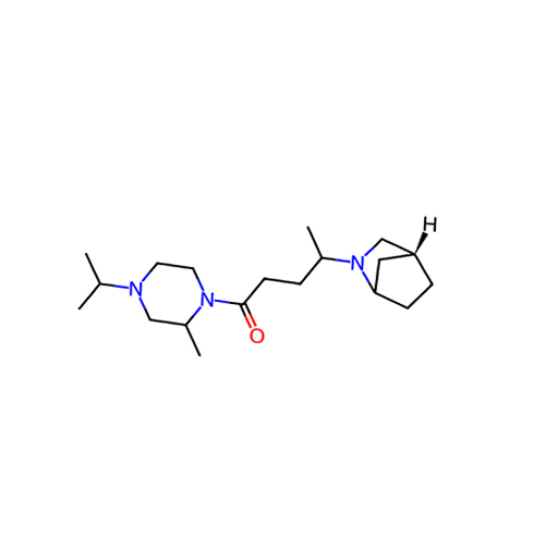 CC(C)N1CCN(C(=O)CCC(C)N2C[C@@H]3CCC2C3)C(C)C1